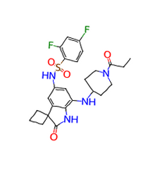 CCC(=O)N1CCC(Nc2cc(NS(=O)(=O)c3ccc(F)cc3F)cc3c2NC(=O)C32CCC2)CC1